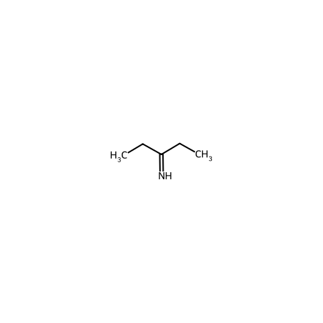 CCC(=N)CC